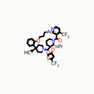 C#CC1(c2ccccc2OCCCC(C)=O)CCN(C(=O)[C@]2(Oc3csc(C(F)(F)F)c3)CCCN(C(=O)c3cnccc3C(F)(F)F)[C@@H]2CCC)CC1